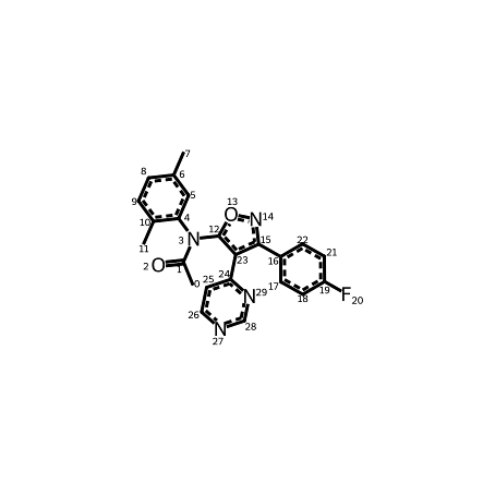 CC(=O)N(c1cc(C)ccc1C)c1onc(-c2ccc(F)cc2)c1-c1ccncn1